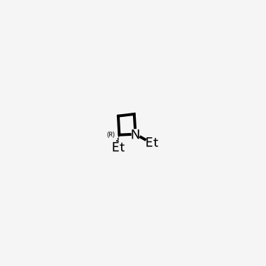 CC[C@@H]1CCN1CC